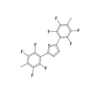 Cc1c(F)c(F)c(-c2ccc(-c3c(F)c(F)c(C)c(F)c3F)s2)c(F)c1F